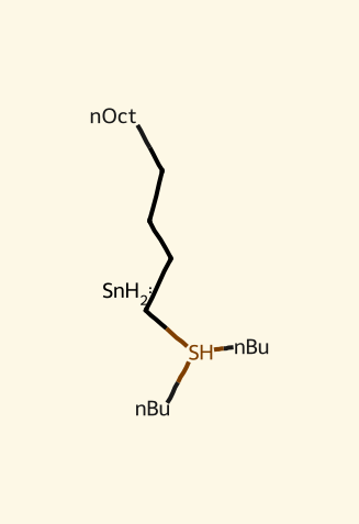 CCCCCCCCCCCC[SH](CCCC)CCCC.[SnH2]